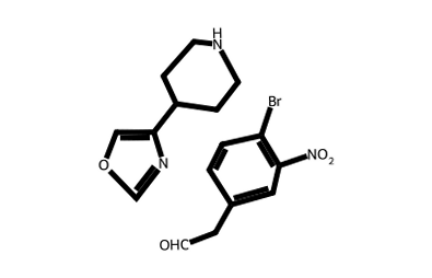 O=CCc1ccc(Br)c([N+](=O)[O-])c1.c1nc(C2CCNCC2)co1